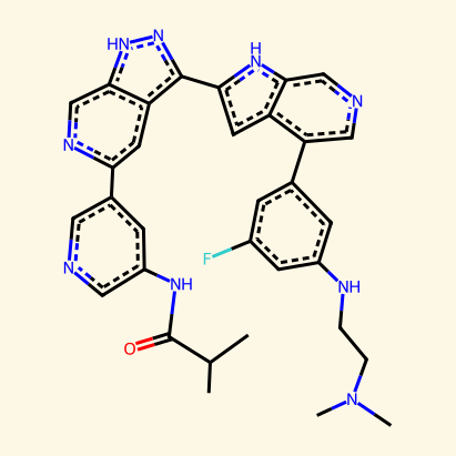 CC(C)C(=O)Nc1cncc(-c2cc3c(-c4cc5c(-c6cc(F)cc(NCCN(C)C)c6)cncc5[nH]4)n[nH]c3cn2)c1